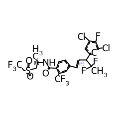 C[C@H](CS(=O)(=O)CC(F)(F)F)NC(=O)c1ccc(/C=C/C(c2cc(Cl)c(F)c(Cl)c2)C(C)(F)F)cc1C(F)(F)F